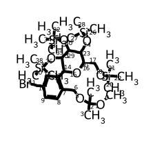 COC(C)(C)OCc1ccc(Br)cc1C1O[C@H](CO[Si](C)(C)C)C(O[Si](C)(C)C)C(O[Si](C)(C)C)C1O[Si](C)(C)C